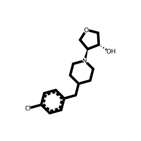 O[C@H]1COC[C@@H]1N1CCC(Cc2ccc(Cl)cc2)CC1